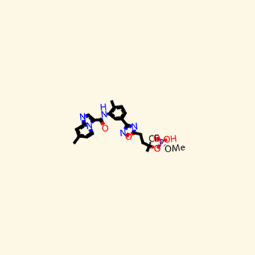 COP(=O)(O)O[C@](C)(CCc1nc(-c2ccc(C)c(NC(=O)c3cnc4cc(C)ccn34)c2)no1)C(F)(F)F